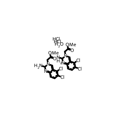 COC(=O)CN1C=c2c(Cl)c(Cl)ccc2=NC1N.COC(=O)CN1C=c2c(Cl)c(Cl)ccc2=NC1N.Cl.Cl.O